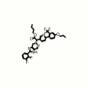 CCCCOC(=O)C(c1ccc(-c2ccc(OCCC)cc2C(F)(F)F)nc1)N1Cc2nc(-c3cccc(F)c3F)[nH]c2C=N1